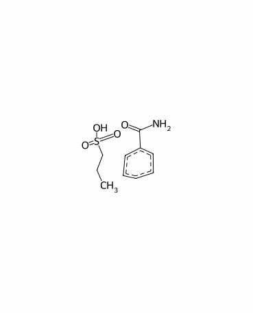 CCCS(=O)(=O)O.NC(=O)c1ccccc1